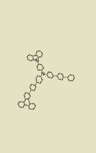 c1ccc(-c2ccc(-c3ccc(N(c4ccc(-c5ccc(-c6ccc7c8ccccc8c8ccccc8c7c6)cc5)cc4)c4ccc(-n5c6ccccc6c6ccccc65)cc4)cc3)cc2)cc1